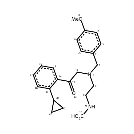 COc1ccc(CN(CCNC(=O)O)CC(=O)c2ccccc2C2CC2)cc1